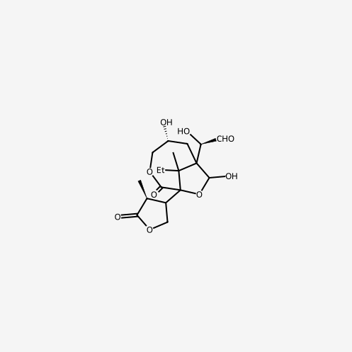 CCC1(C)C2(C3COC(=O)[C@H]3C)OC(O)C1([C@@H](O)C=O)C[C@@H](O)COC2=O